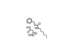 CCCCCCNC(=O)OCc1ccccc1.O=C(O)C[PH](=O)O